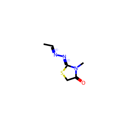 C/C=N/N=C1\SCC(=O)N1C